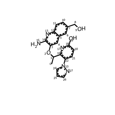 CC(Oc1cc2cc(CO)ccc2nc1N)c1nc(O)ccc1-n1cccn1